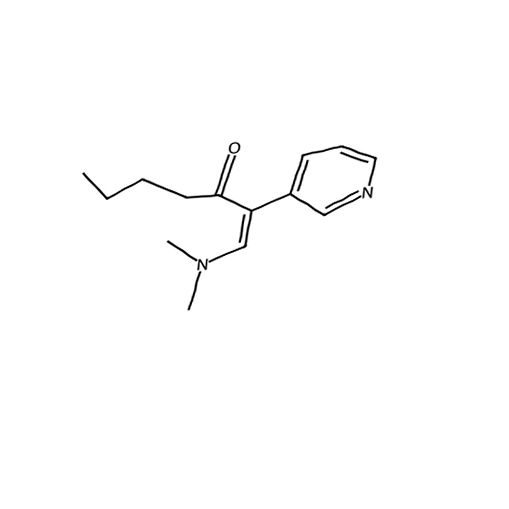 CCCCC(=O)/C(=C\N(C)C)c1cccnc1